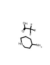 NC1CCCNCC1.O=C(O)C(F)(F)F